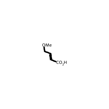 COC/C=C/C(=O)O